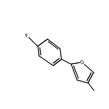 Cc1[c]oc(-c2ccc(F)cc2)c1